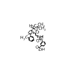 Cc1ccccc1[C@H]1SC[C@@H](C(=O)OC(C)(C)C)N1C(=O)CNC(=O)Nc1cccc(C(=O)O)c1